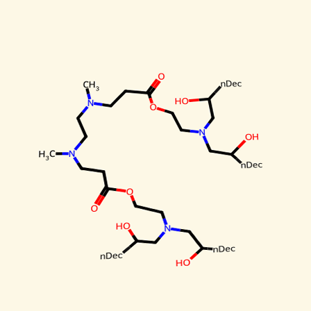 CCCCCCCCCCC(O)CN(CCOC(=O)CCN(C)CCN(C)CCC(=O)OCCN(CC(O)CCCCCCCCCC)CC(O)CCCCCCCCCC)CC(O)CCCCCCCCCC